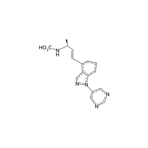 C[C@@H](/C=C/c1cccc2c1cnn2-c1cncnc1)NC(=O)O